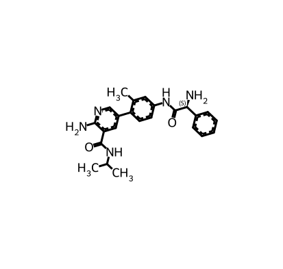 Cc1cc(NC(=O)[C@@H](N)c2ccccc2)ccc1-c1cnc(N)c(C(=O)NC(C)C)c1